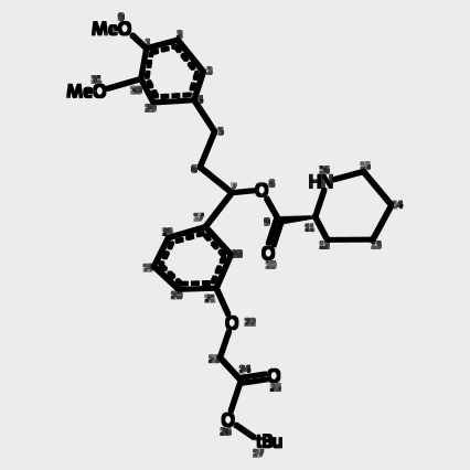 COc1ccc(CCC(OC(=O)[C@@H]2CCCCN2)c2cccc(OCC(=O)OC(C)(C)C)c2)cc1OC